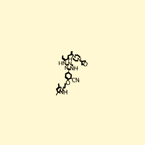 C=C(CC/C(=C\C)N[C@@H]1N=C([C@@H]2CC=C(OCCN3N[C@@H](C)C=C3C)[C@H](C#N)C2)NCN1)N1CCN(C2COC2)CC1